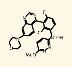 COc1ccc([C@@H](O)c2ccc(F)c(-c3ncnc4cc(N5CCOCC5)ccc34)c2Cl)nn1